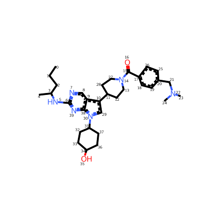 CCCC(C)Nc1ncc2c(C3CCN(C(=O)c4ccc(CN(C)C)cc4)CC3)cn(C3CCC(O)CC3)c2n1